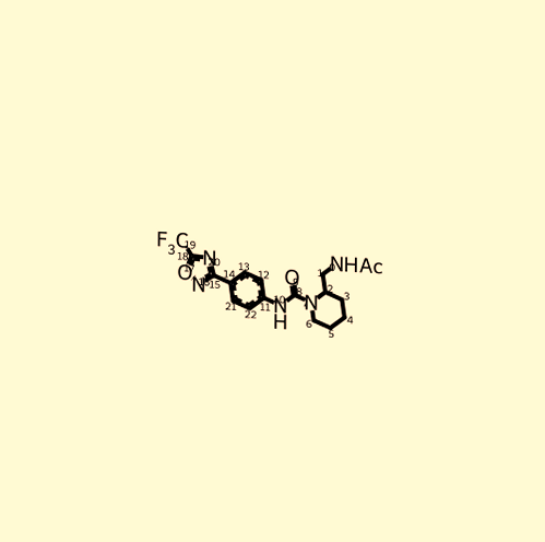 CC(=O)NCC1CCCCN1C(=O)Nc1ccc(-c2noc(C(F)(F)F)n2)cc1